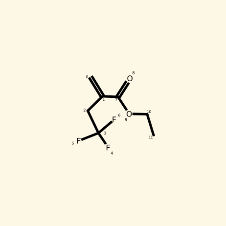 C=C(CC(F)(F)F)C(=O)OCC